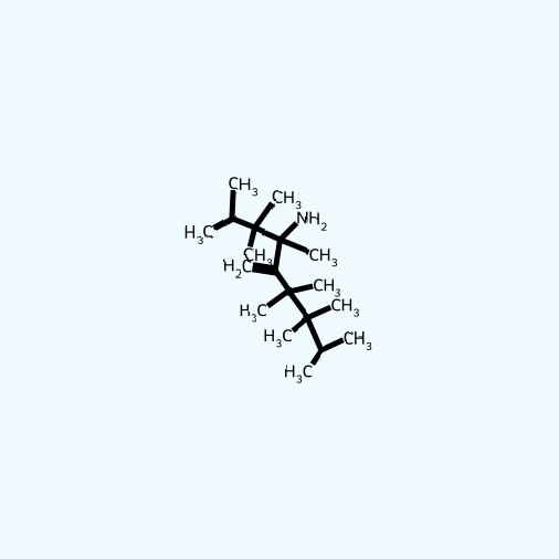 C=C(C(C)(C)C(C)(C)C(C)C)C(C)(N)C(C)(C)C(C)C